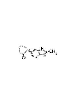 Cc1nc2cc([C@@H]3CCCCC3=O)ccc2s1